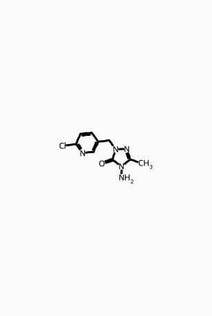 Cc1nn(Cc2ccc(Cl)nc2)c(=O)n1N